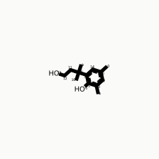 Cc1cc(C)c(O)c(C(C)(C)CCO)c1